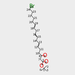 CC(C)(C)OC(=O)CC(=O)CC/C=C/C/C=C/C/C=C/CCCCCBr